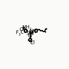 C=CC(C)CCCCC1CCN(c2ncc(Sc3ccc(C(N)=O)c(C(F)(F)F)c3)c(OCc3cccc(Cl)c3)n2)CC1